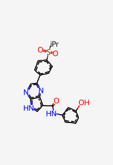 CC(C)S(=O)(=O)c1ccc(-c2cnc3[nH]cc(C(=O)Nc4cccc(O)c4)c3n2)cc1